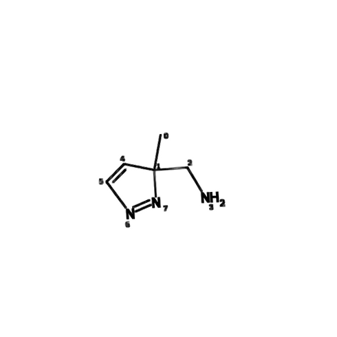 CC1(CN)C=CN=N1